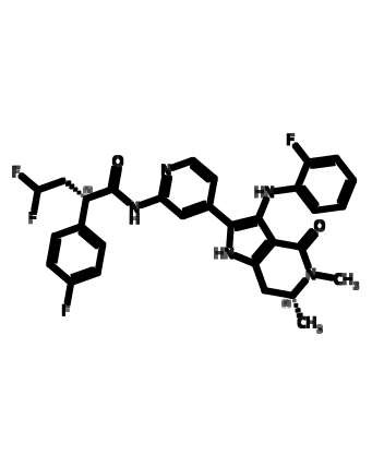 C[C@@H]1Cc2[nH]c(-c3ccnc(NC(=O)[C@@H](CC(F)F)c4ccc(F)cc4)c3)c(Nc3ccccc3F)c2C(=O)N1C